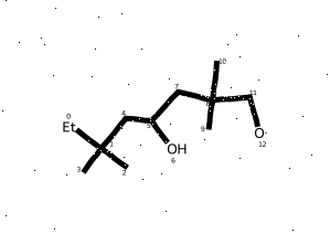 CCC(C)(C)CC(O)CC(C)(C)C[O]